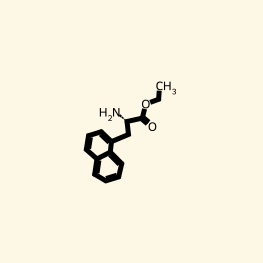 CCOC(=O)[C@@H](N)Cc1cccc2ccccc12